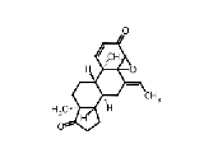 CC=C1C[C@H]2[C@@H]3CCC(=O)[C@@]3(C)CC[C@@H]2[C@@]2(C)C=CC(=O)C3OC132